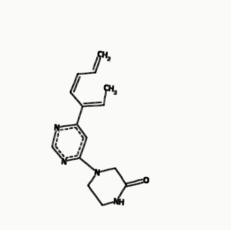 C=C/C=C\C(=C/C)c1cc(N2CCNC(=O)C2)ncn1